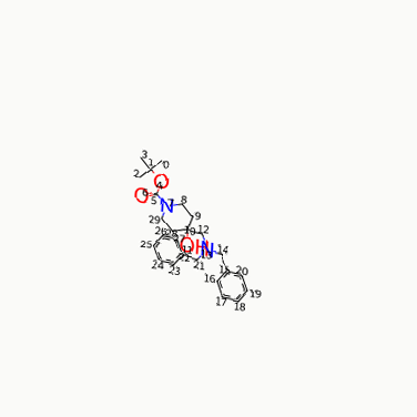 CC(C)(C)OC(=O)N1CCC(O)(CN(Cc2ccccc2)Cc2ccccc2)CC1